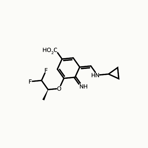 C[C@H](OC1=CC(C(=O)O)=C/C(=C/NC2CC2)C1=N)C(F)F